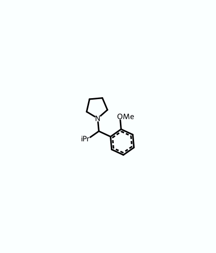 COc1ccccc1C(C(C)C)N1CCCC1